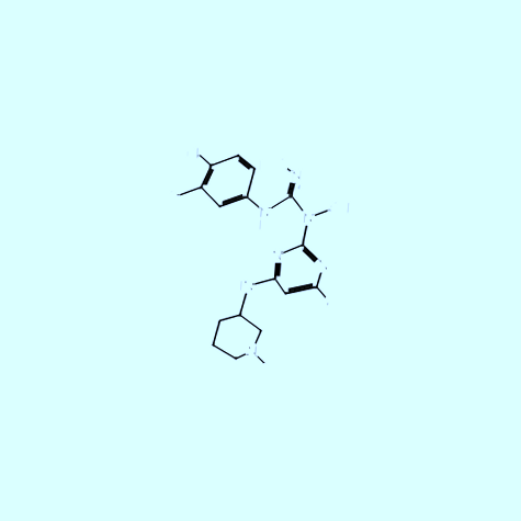 CCN1CCCC(Nc2cc(C)nc(N(C)/C(=N/C)Nc3ccc(Cl)c(Cl)c3)n2)C1